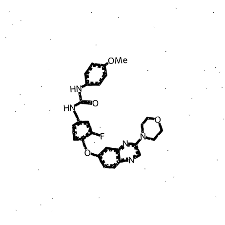 COc1ccc(NC(=O)Nc2ccc(Oc3ccc4ncc(N5CCOCC5)nc4c3)c(F)c2)cc1